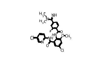 COc1cc(Cl)cc(C(=O)Nc2ccc(Cl)cn2)c1NC(=O)c1ccc(C(=N)N(C)C)cc1F